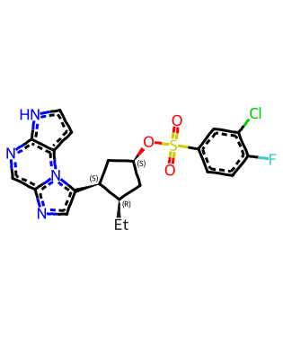 CC[C@@H]1C[C@H](OS(=O)(=O)c2ccc(F)c(Cl)c2)C[C@@H]1c1cnc2cnc3[nH]ccc3n12